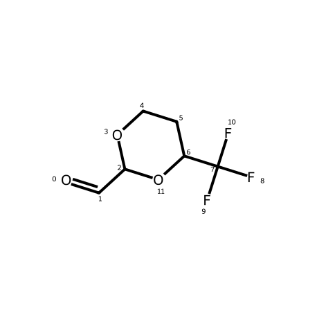 O=CC1OCCC(C(F)(F)F)O1